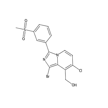 CS(=O)(=O)c1cccc(-c2nc(Br)c3c(CO)c(Cl)ccn23)c1